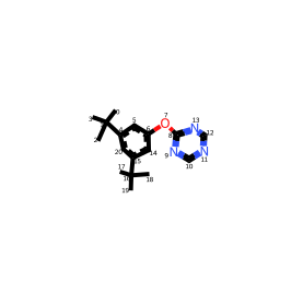 CC(C)(C)c1cc(Oc2ncncn2)cc(C(C)(C)C)c1